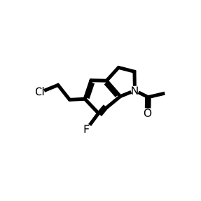 CC(=O)N1CCc2cc(CCCl)c(F)cc21